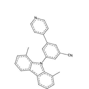 Cc1cccc2c3cccc(C)c3n(-c3cc(C#N)cc(-c4ccncc4)c3)c12